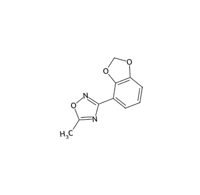 Cc1nc(-c2cccc3c2OCO3)no1